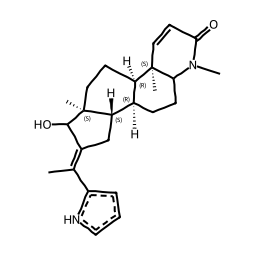 CC(=C1C[C@H]2[C@@H]3CCC4N(C)C(=O)C=C[C@]4(C)[C@@H]3CC[C@]2(C)C1O)c1ccc[nH]1